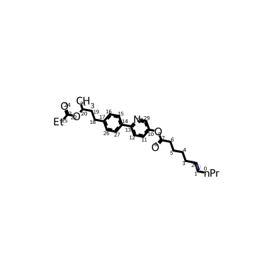 CCC/C=C/CCCCC(=O)Oc1ccc(-c2ccc(CCC(C)OC(=O)CC)cc2)nc1